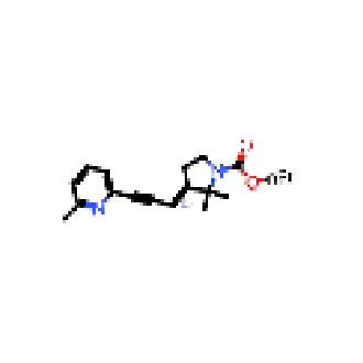 CCCOC(=O)N1CC/C(=C\C#Cc2cccc(C)n2)C1(C)C